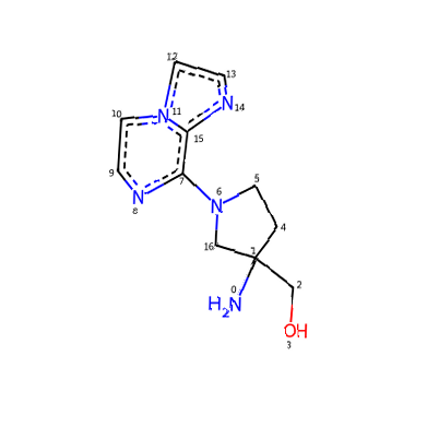 NC1(CO)CCN(c2nccn3ccnc23)C1